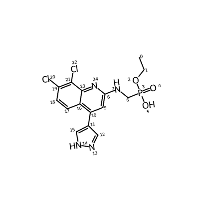 CCOP(=O)(O)CNc1cc(-c2cn[nH]c2)c2ccc(Cl)c(Cl)c2n1